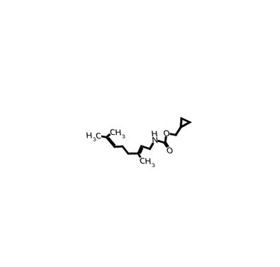 CC(C)=CCC/C(C)=C/CNC(=O)OCC1CC1